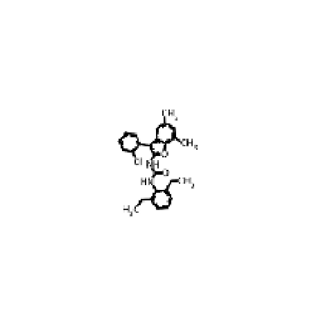 CCc1cccc(CC)c1NC(=O)Nc1oc2c(C)cc(C)cc2c1-c1ccccc1Cl